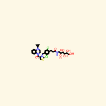 O=C(CCc1cc(Cl)c(CN2CSC[C@H]2C(=O)N2CCN(C3CC3)c3ccccc32)cc1Cl)NC[C@H](O)[C@@H](O)[C@@H](O)[C@H](O)CO